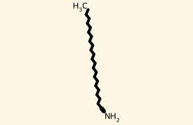 CCCCCCCCCCCCCCCCCCCCCCCC#CN